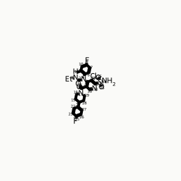 CCNC(=O)N(c1ccc(F)cc1C)c1c(C(=O)N2CCC(c3ccc(F)cc3)CC2)cnc(S(N)(=O)=O)c1Cl